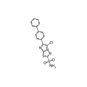 NS(=O)(=O)c1nn2c(Cl)c(-c3ccc(-c4ccccc4)cc3)nc2s1